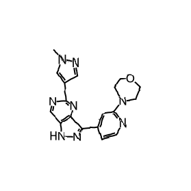 Cn1cc(-c2ncc3[nH]nc(-c4ccnc(N5CCOCC5)c4)c3n2)cn1